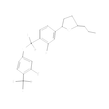 CCCC1CCC(c2ccc(C(F)(F)Oc3ccc(C(F)(F)F)c(F)c3)c(F)c2)O1